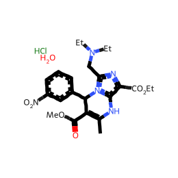 CCOC(=O)c1nc(CN(CC)CC)n2c1NC(C)=C(C(=O)OC)C2c1cccc([N+](=O)[O-])c1.Cl.O